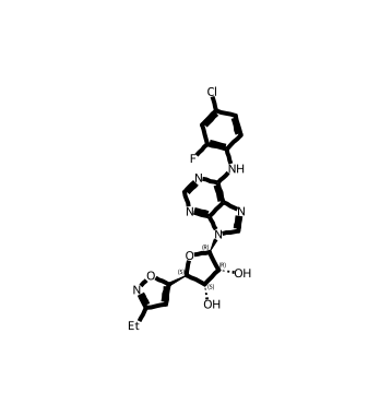 CCc1cc([C@H]2O[C@@H](n3cnc4c(Nc5ccc(Cl)cc5F)ncnc43)[C@H](O)[C@@H]2O)on1